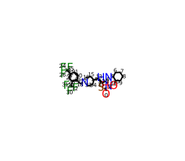 O=C1N=C(N[C@H]2CCCC[C@H]2O)/C(=C/C2CCN(Cc3ccc(C(F)(F)F)cc3C(F)(F)F)CC2)S1